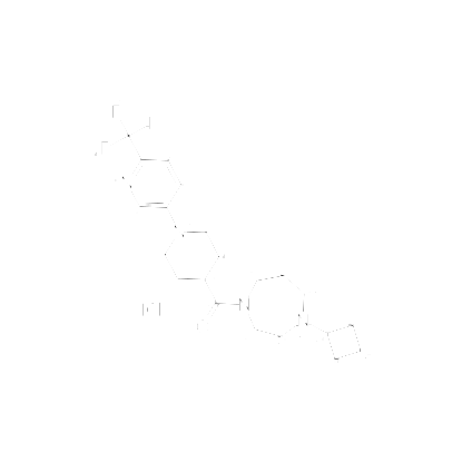 Cl.O=C(C1CCN(c2ccc(C(F)(F)F)nc2)CC1)N1CCCN(C2CCC2)CC1